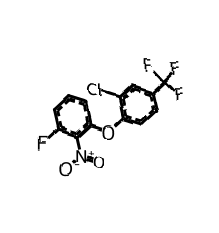 O=[N+]([O-])c1c(F)cccc1Oc1ccc(C(F)(F)F)cc1Cl